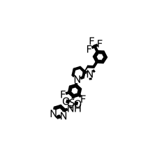 CN(C)[C@@]1(CCc2cccc(C(F)(F)F)c2)CCCN(c2cc(F)c(S(=O)(=O)Nc3ccncn3)c(F)c2)C1